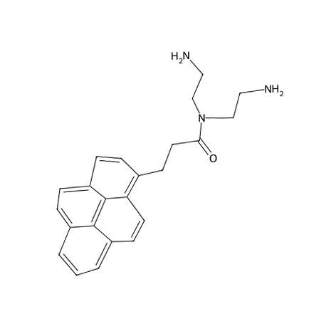 NCCN(CCN)C(=O)CCc1ccc2ccc3cccc4ccc1c2c34